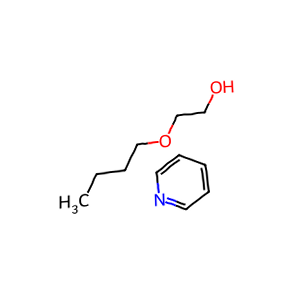 CCCCOCCO.c1ccncc1